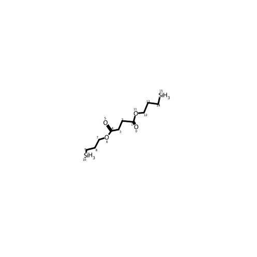 O=C(CCC(=O)OCCC[SiH3])OCCC[SiH3]